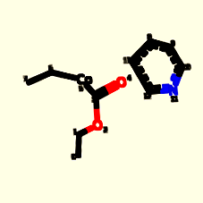 CCO[C](=O)[Co][CH2]C.c1ccncc1